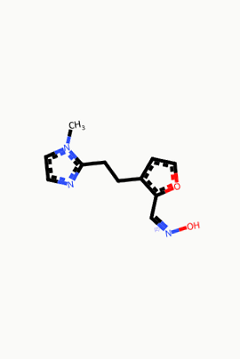 Cn1ccnc1CCc1ccoc1/C=N\O